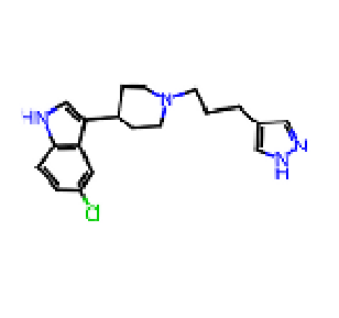 Clc1ccc2[nH]cc(C3CCN(CCCc4cn[nH]c4)CC3)c2c1